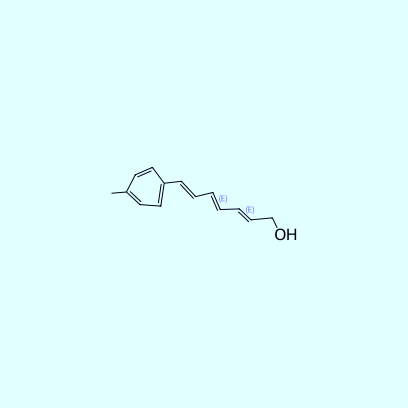 Cc1ccc(C=C/C=C/C=C/CO)cc1